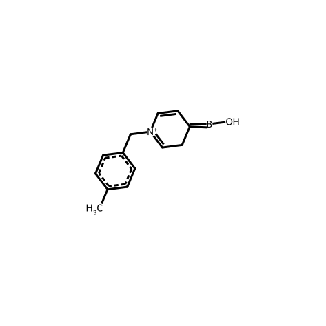 Cc1ccc(C[N+]2=CC/C(=B/O)C=C2)cc1